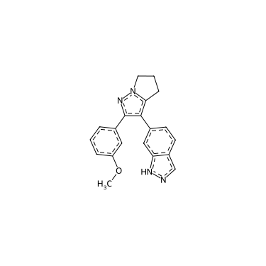 COc1cccc(-c2nn3c(c2-c2ccc4cn[nH]c4c2)CCC3)c1